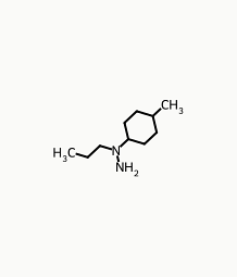 CCCN(N)C1CCC(C)CC1